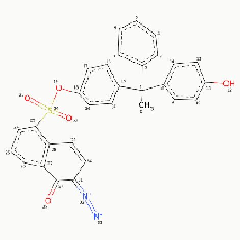 CC(c1ccccc1)(c1ccc(O)cc1)c1ccc(OS(=O)(=O)c2cccc3c2C=CC(=[N+]=[N-])C3=O)cc1